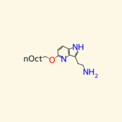 CCCCCCCCCOc1ccc2[nH]cc(CCN)c2n1